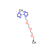 C#CCOCCOCCOCCn1ccnc1-c1nccn1C